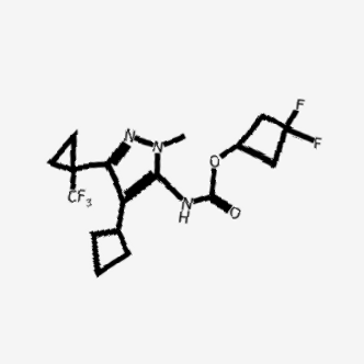 Cn1nc(C2(C(F)(F)F)CC2)c(C2CCC2)c1NC(=O)OC1CC(F)(F)C1